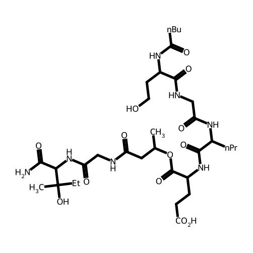 CCCCC(=O)NC(CCO)C(=O)NCC(=O)NC(CCC)C(=O)NC(CCC(=O)O)C(=O)OC(C)CC(=O)NCC(=O)NC(C(N)=O)C(C)(O)CC